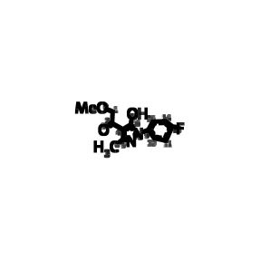 COCC(=O)c1c(C)nn(-c2ccc(F)cc2)c1O